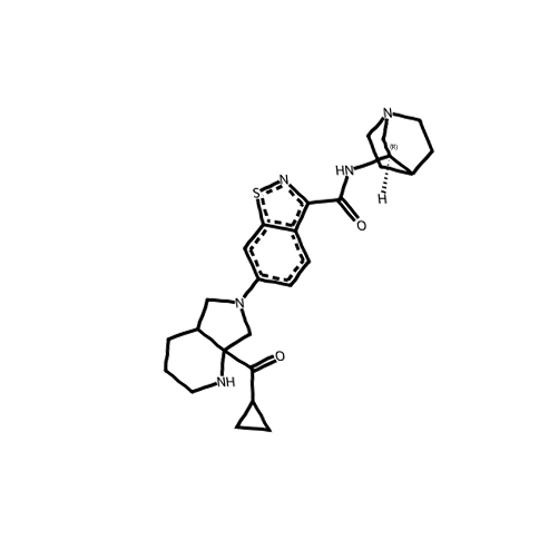 O=C(N[C@H]1CN2CCC1CC2)c1nsc2cc(N3CC4CCCNC4(C(=O)C4CC4)C3)ccc12